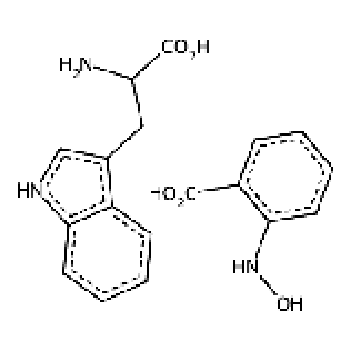 NC(Cc1c[nH]c2ccccc12)C(=O)O.O=C(O)c1ccccc1NO